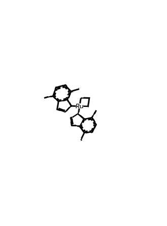 Cc1ccc(C)c2c1C=C[CH]2[Ru]1([CH]2C=Cc3c(C)ccc(C)c32)[CH2]C[CH2]1